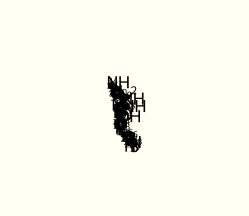 CN/C(=C1/N=CN(CC2(O)CCN(Cc3ccc4nsnc4c3)CC2)C(=O)C1=N)c1ccc(CN)cc1